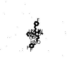 Cc1nnc(-c2c(CCc3ccc(F)cc3)nc3c(c2-c2ccc(C(=O)NCc4ccc(F)c(F)c4)s2)S(=O)(=O)N2CCC[C@@H]32)o1